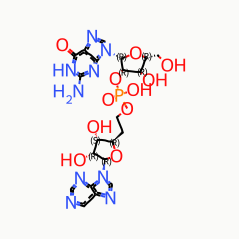 Nc1nc2c(ncn2[C@@H]2O[C@H](CO)[C@@H](O)[C@H]2OP(=O)(O)OCC[C@H]2O[C@@H](n3cnc4cncnc43)[C@H](O)[C@@H]2O)c(=O)[nH]1